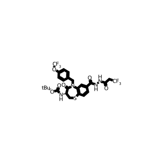 CC(C)(C)OC(=O)N[C@H]1CSc2ccc(C(=O)NNC(=O)CC(F)(F)F)cc2N(Cc2ccc(OC(F)(F)F)cc2)C1=O